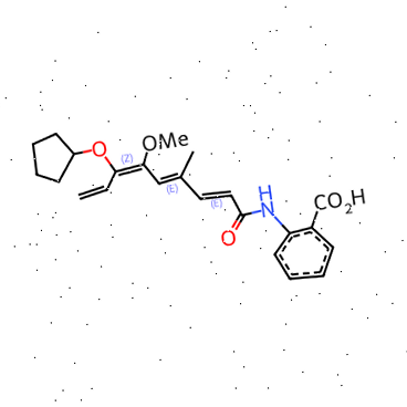 C=C\C(OC1CCCC1)=C(/C=C(C)/C=C/C(=O)Nc1ccccc1C(=O)O)OC